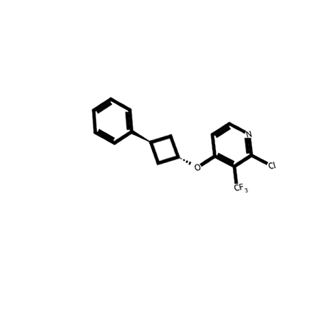 FC(F)(F)c1c(O[C@H]2C[C@H](c3ccccc3)C2)ccnc1Cl